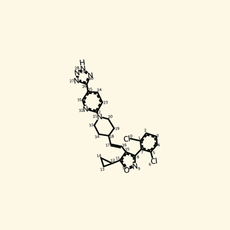 Clc1cccc(Cl)c1-c1noc(C2CC2)c1C=CC1CCN(c2ccc(-c3nn[nH]n3)cn2)CC1